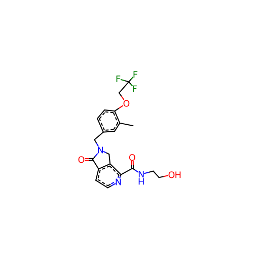 Cc1cc(CN2Cc3c(ccnc3C(=O)NCCO)C2=O)ccc1OCC(F)(F)F